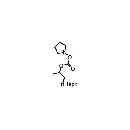 CCCCCCCCC(C)OC(=O)ON1CCCC1